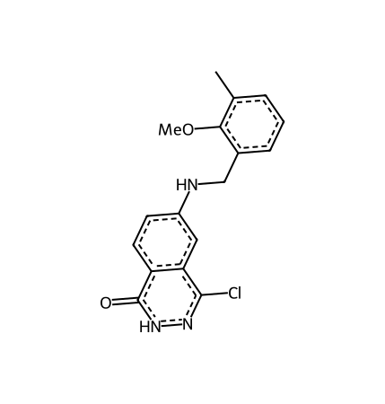 COc1c(C)cccc1CNc1ccc2c(=O)[nH]nc(Cl)c2c1